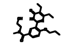 CCCOc1ccc(C(=O)N(C)CCO)cc1-c1nc(CC)c(CC)c(=O)[nH]1